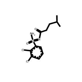 CC(C)CCC(=O)N=S(N)(=O)c1cccc(Cl)c1Cl